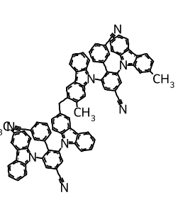 Cc1ccc2c(c1)c1ccccc1n2-c1cc(C#N)cc(-n2c3ccccc3c3cc(Cc4cc5c6ccccc6n(-c6cc(C#N)cc(-n7c8ccccc8c8ccc(C)cc87)c6-c6cccc(C#N)c6)c5cc4C)ccc32)c1-c1cccc(C#N)c1